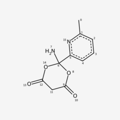 Cc1cccc(C2(N)OC(=O)CC(=O)O2)n1